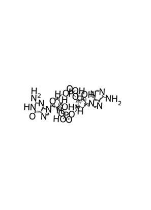 Nc1nc2c(ncn2[C@@H]2O[C@@H]3COP(=O)(O)O[C@@H]4[C@@H](COP(=O)(O)O[C@@H]2[C@@H]3O)C[C@@H](n2cnc3c(N)ncnc32)[C@@H]4O)c(=O)[nH]1